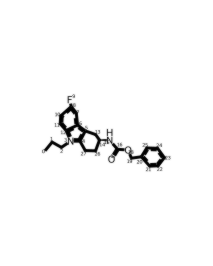 CCCn1c2c(c3cc(F)ccc31)C[C@@H](NC(=O)OCc1ccccc1)CC2